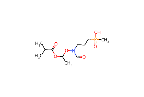 CC(OC(=O)C(C)C)ON(C=O)CCCP(C)(=O)O